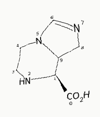 O=C(O)[C@H]1NCCN2C=NCC12